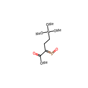 COC(=O)C(CC[Si](OC)(OC)OC)=S=O